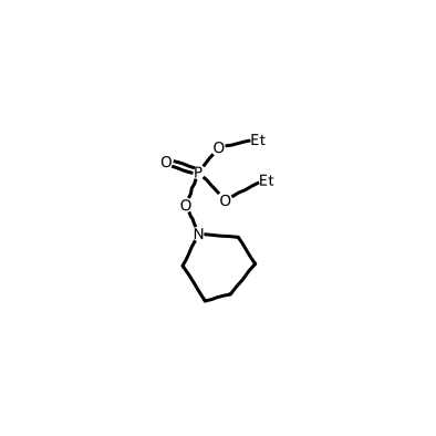 CCOP(=O)(OCC)ON1CCCCC1